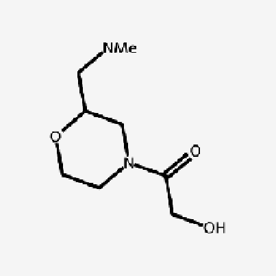 CNCC1CN(C(=O)CO)CCO1